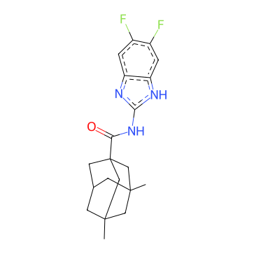 CC12CC3CC(C)(C1)CC(C(=O)Nc1nc4cc(F)c(F)cc4[nH]1)(C3)C2